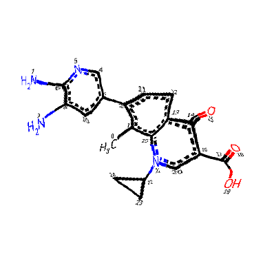 Cc1c(-c2cnc(N)c(N)c2)ccc2c(=O)c(C(=O)O)cn(C3CC3)c12